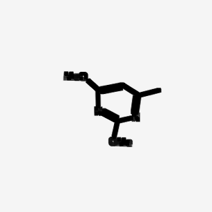 COc1cc(C)nc(OC)n1